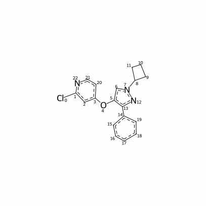 Clc1cc(Oc2cn(C3CCC3)nc2-c2ccccc2)ccn1